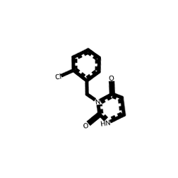 O=c1cc[nH]c(=O)n1Cc1ccccc1Cl